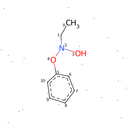 CCN(O)Oc1ccccc1